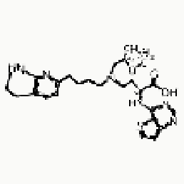 CO[C@H](C)CN(CCCCc1ccc2c(n1)NCCC2)CC[C@H](Nc1ncnc2ccsc12)C(=O)O